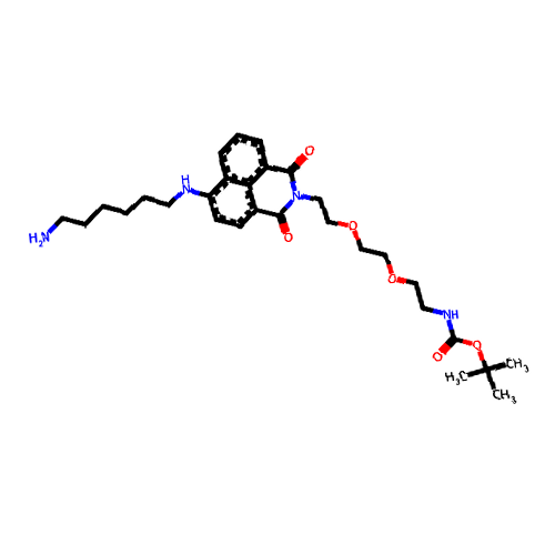 CC(C)(C)OC(=O)NCCOCCOCCN1C(=O)c2cccc3c(NCCCCCCN)ccc(c23)C1=O